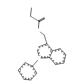 O=C(CCl)NCc1nn(-c2ccccc2)c2ccccc12